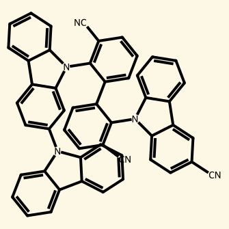 N#Cc1ccc2c(c1)c1ccccc1n2-c1c(C#N)cccc1-c1cccc(C#N)c1-n1c2ccccc2c2ccc(-n3c4ccccc4c4ccccc43)cc21